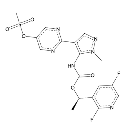 C[C@@H](OC(=O)Nc1c(-c2ncc(OS(C)(=O)=O)cn2)cnn1C)c1cc(F)cnc1F